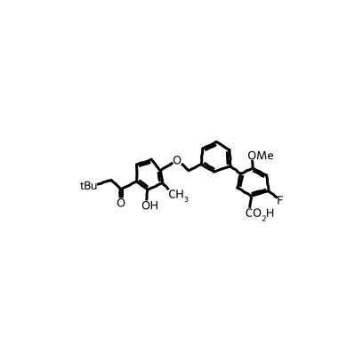 COc1cc(F)c(C(=O)O)cc1-c1cccc(COc2ccc(C(=O)CC(C)(C)C)c(O)c2C)c1